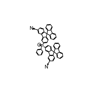 N#Cc1ccc2c(c1)-c1cc(P(=O)(c3ccccc3)c3ccc4c(c3)-c3cc(C#N)ccc3C43c4ccccc4-c4ccccc43)ccc1C21c2ccccc2-c2ccccc21